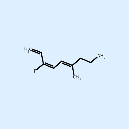 C=C/C(F)=C\C=C(/C)CCN